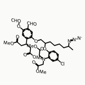 COC(=O)CC(CC(=O)OC)c1cc(OC=O)c(C=O)cc1OCC(CCCCC(C)N=[N+]=[N-])Oc1ccc(Cl)cc1N(CC(=O)OC)CC(=O)OC